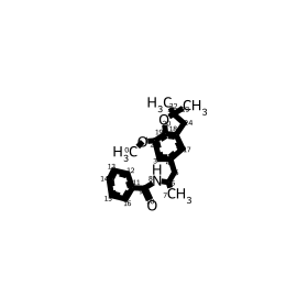 COc1cc(CC(C)NC(=O)c2ccccc2)cc2c1OC(C)(C)C2